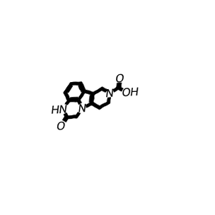 O=C1Cn2c3c(c4cccc(c42)N1)CN(C(=O)O)CC3